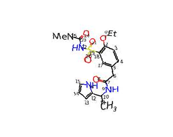 CCOc1ccc(CC(=O)NC(C)c2ccc[nH]2)cc1S(=O)(=O)NC(=O)NC